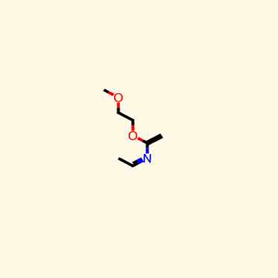 C=C(/N=C\C)OCCOC